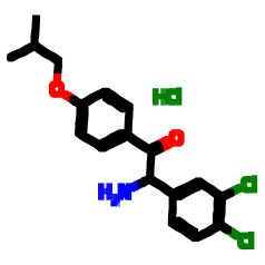 CC(C)COc1ccc(C(=O)C(N)c2ccc(Cl)c(Cl)c2)cc1.Cl